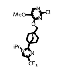 COc1cnc(Cl)nc1OCC12CCC(c3nc(C(F)(F)F)cn3C(C)C)(CC1)CC2